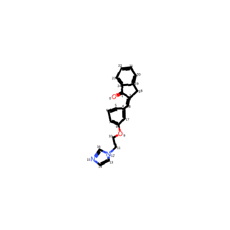 O=C1C(=Cc2cccc(OCCn3ccnc3)c2)Cc2ccccc21